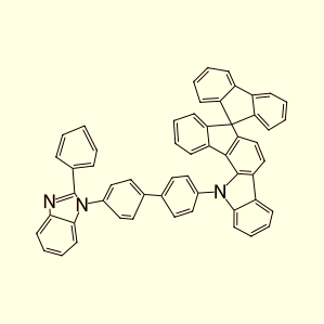 c1ccc(-c2nc3ccccc3n2-c2ccc(-c3ccc(-n4c5ccccc5c5ccc6c(c54)-c4ccccc4C64c5ccccc5-c5ccccc54)cc3)cc2)cc1